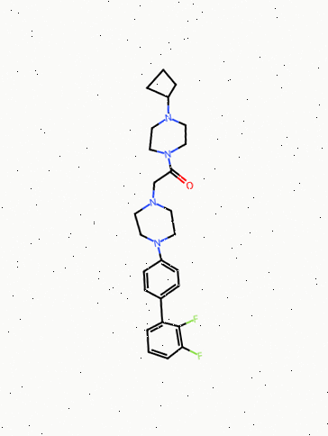 O=C(CN1CCN(c2ccc(-c3cccc(F)c3F)cc2)CC1)N1CCN(C2CCC2)CC1